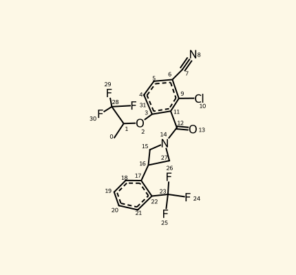 CC(Oc1ccc(C#N)c(Cl)c1C(=O)N1CC(c2ccccc2C(F)(F)F)C1)C(F)(F)F